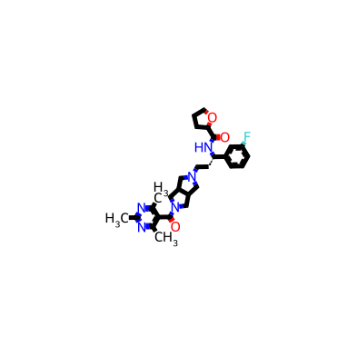 Cc1nc(C)c(C(=O)N2CC3CN(CC[C@H](NC(=O)C4CCCO4)c4cccc(F)c4)CC3C2)c(C)n1